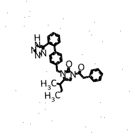 CCC(C)c1cn(C(=O)Cc2ccccc2)c(=O)n1Cc1ccc(-c2ccccc2-c2nnn[nH]2)cc1